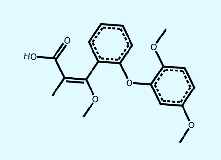 COC(=C(C)C(=O)O)c1ccccc1Oc1cc(OC)ccc1OC